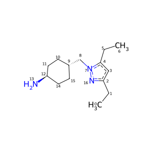 CCc1cc(CC)n(C[C@H]2CC[C@H](N)CC2)n1